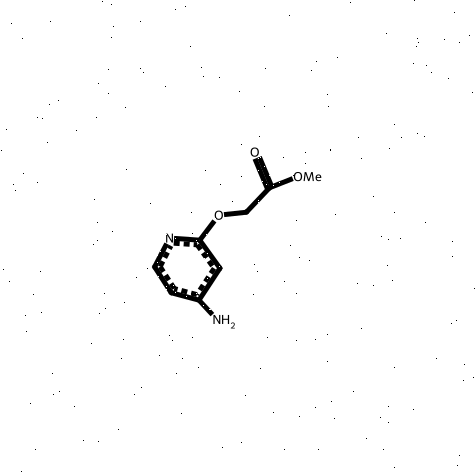 COC(=O)COc1cc(N)ccn1